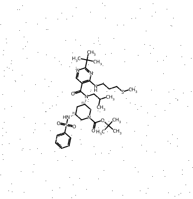 CSCCCNc1nc(C(C)(C)C)ncc1C(=O)N(CC(C)C)[C@H]1C[C@@H](NS(=O)(=O)c2ccccc2)CN(C(=O)OC(C)(C)C)C1